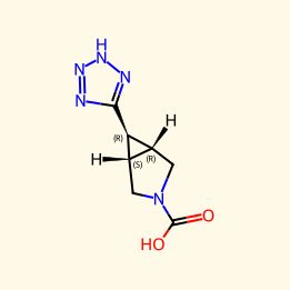 O=C(O)N1C[C@@H]2[C@H](C1)[C@H]2c1nn[nH]n1